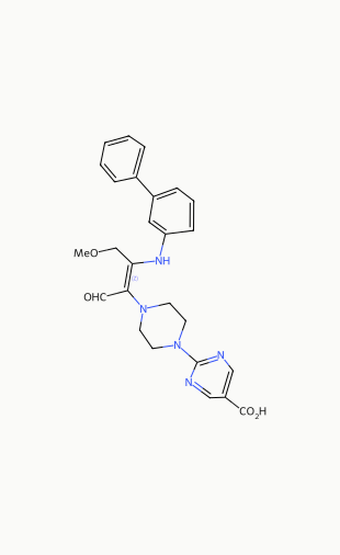 COC/C(Nc1cccc(-c2ccccc2)c1)=C(\C=O)N1CCN(c2ncc(C(=O)O)cn2)CC1